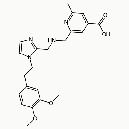 COc1ccc(CCn2ccnc2CNCc2cc(C(=O)O)cc(C)n2)cc1OC